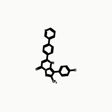 O=c1cc(-c2ccc(-c3cccnc3)cc2)[nH]c2c(-c3ccc(Cl)cc3)c(C(F)(F)F)nn12